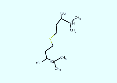 C[SiH](C)C(CCSCCC([SiH](C)C)C(C)(C)C)C(C)(C)C